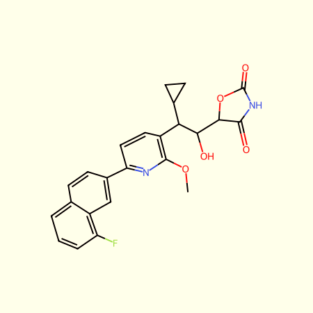 COc1nc(-c2ccc3cccc(F)c3c2)ccc1C(C1CC1)C(O)C1OC(=O)NC1=O